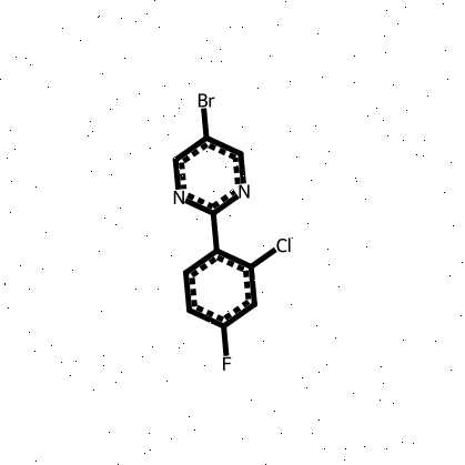 Fc1ccc(-c2ncc(Br)cn2)c(Cl)c1